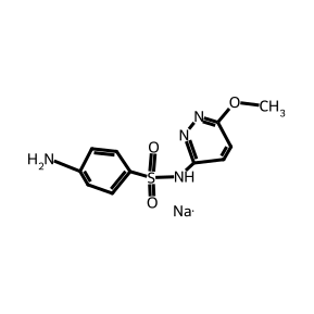 COc1ccc(NS(=O)(=O)c2ccc(N)cc2)nn1.[Na]